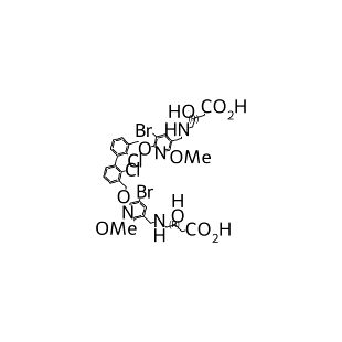 COc1nc(OCc2cccc(-c3cccc(COc4nc(OC)c(CNC[C@H](O)CC(=O)O)cc4Br)c3Cl)c2Cl)c(Br)cc1CNC[C@H](O)CC(=O)O